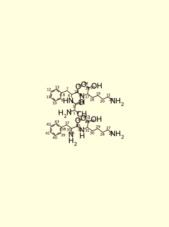 CC(N)C(=O)NC(Cc1ccccc1)C(=O)NC(CCCCN)C(=O)O.NCCCCC(NC(=O)C(N)Cc1ccccc1)C(=O)O